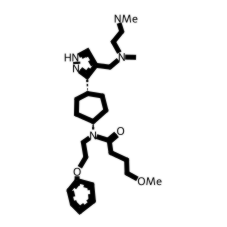 CNCCN(C)Cc1c[nH]nc1[C@H]1CC[C@@H](N(CCOc2ccccc2)C(=O)CCCOC)CC1